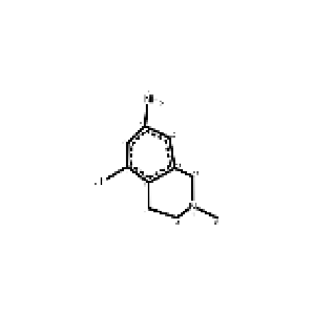 CN1CCc2c(F)cc(N)cc2C1